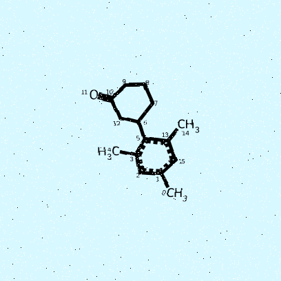 Cc1cc(C)c(C2CCCC(=O)C2)c(C)c1